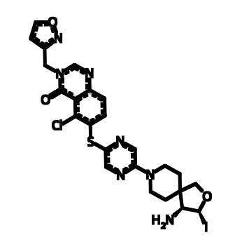 N[C@@H]1[C@H](I)OCC12CCN(c1cnc(Sc3ccc4ncn(Cc5ccon5)c(=O)c4c3Cl)cn1)CC2